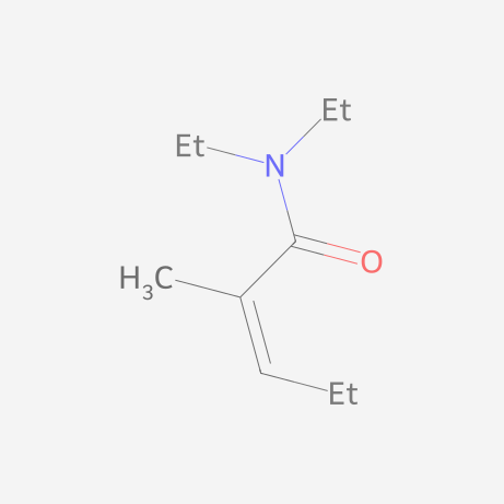 CCC=C(C)C(=O)N(CC)CC